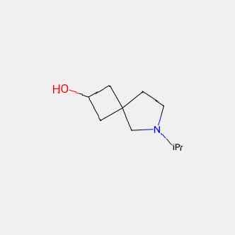 CC(C)N1CCC2(CC(O)C2)C1